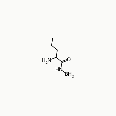 BNC(=O)C(N)CCC